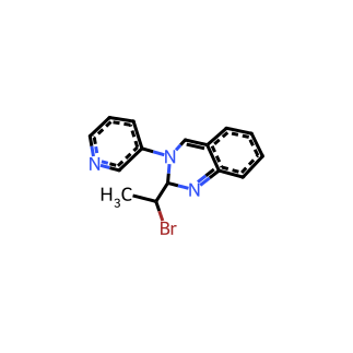 CC(Br)C1N=c2ccccc2=CN1c1cccnc1